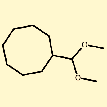 COC(OC)C1CCCCCCC1